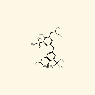 CC(C)Cc1cc(Cc2cc(CC(C)C)c(O)c(C(C)(C)C)c2)cc(C(C)(C)C)c1O